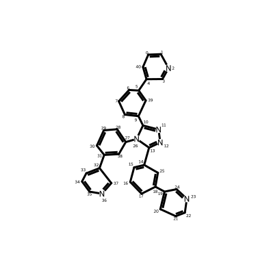 c1cncc(-c2cccc(-c3nnc(-c4cccc(-c5cccnc5)c4)n3-c3cccc(-c4cccnc4)c3)c2)c1